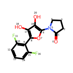 O=C1CCCN1c1oc(-c2c(F)cccc2F)c(O)c1O